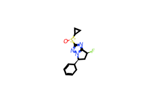 [O-][S@@+](c1nc2n(n1)[C@H](C1C=CC=CC1)C[C@@H]2F)C1CC1